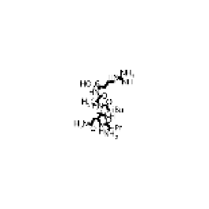 CC[C@H](C)[C@H](NC(=O)[C@H](CC(N)=O)NC(=O)[C@@H](N)C(C)C)C(=O)N[C@@H](C)C(=O)N[C@@H](CCCNC(=N)N)C(=O)O